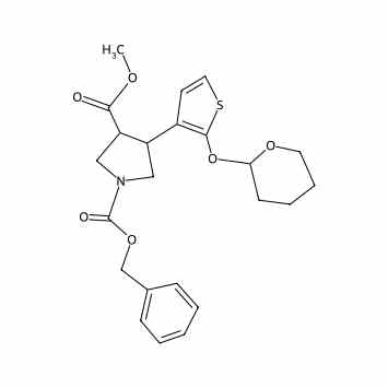 COC(=O)C1CN(C(=O)OCc2ccccc2)CC1c1ccsc1OC1CCCCO1